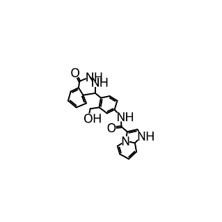 O=C(Nc1ccc(C2NNC(=O)c3ccccc32)c(CO)c1)C1=CNC2C=CC=CN12